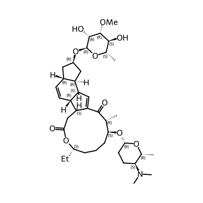 CC[C@H]1CCC[C@H](O[C@H]2CC[C@H](N(C)C)[C@@H](C)O2)[C@@H](C)C(=O)C2=C[C@@H]3[C@@H](C=C[C@@H]4C[C@@H](O[C@@H]5O[C@@H](C)[C@H](O)[C@@H](OC)[C@H]5O)C[C@@H]34)[C@@H]2CC(=O)O1